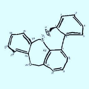 Brc1ccccc1-c1cccc2c1Sc1ccccc1O2